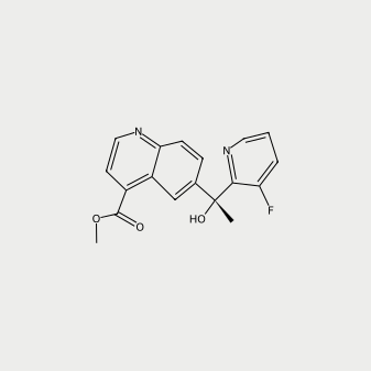 COC(=O)c1ccnc2ccc([C@@](C)(O)c3ncccc3F)cc12